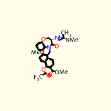 CN[C@@H](C)CN[C@H]1COc2ccccc2N(Cc2c(OC)ccc3c(OC(=O)C(F)(F)F)c(C(=O)OC)ccc23)C1=O